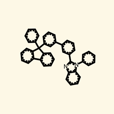 c1ccc(-n2c(-c3cccc(-c4cccc(C5(c6ccccc6)c6ccccc6-c6ccccc65)c4)c3)nc3ccccc32)cc1